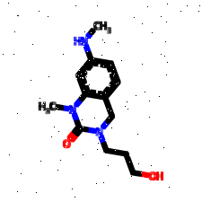 CNc1ccc2c(c1)N(C)C(=O)N(CCCO)C2